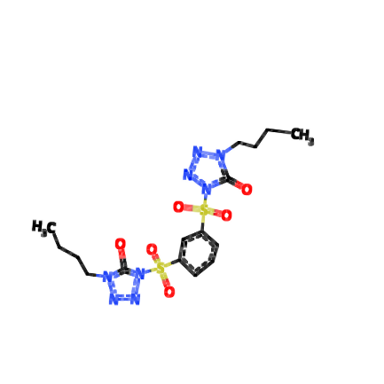 CCCCn1nnn(S(=O)(=O)c2cccc(S(=O)(=O)n3nnn(CCCC)c3=O)c2)c1=O